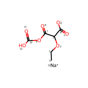 CCOC(C(=O)[O-])C(=O)OC(=O)O.[Na+]